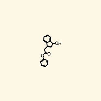 O=C(CC1=CC(O)c2ccccc21)Oc1ccccc1